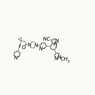 Cn1cc(-c2cc(-c3ccc(N4CCN(C(=O)CC5(C#Cc6ccncc6)CC5)CC4)nc3)c3c(C#N)cnn3c2)cn1